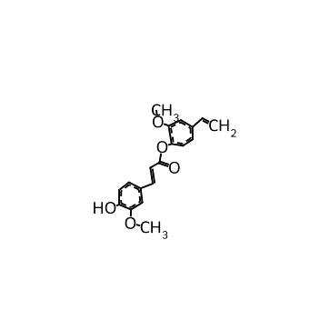 C=Cc1ccc(OC(=O)C=Cc2ccc(O)c(OC)c2)c(OC)c1